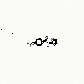 CC1CCN(C(=O)Nc2nccs2)CC1